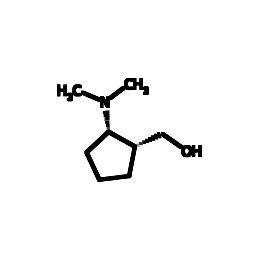 CN(C)[C@H]1CCC[C@H]1CO